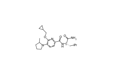 CC(C)C[C@H](NC(=O)c1ccc(N2CCCC2C)c(OCC2CC2)n1)C(N)=O